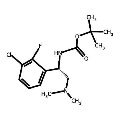 CN(C)C[C@@H](NC(=O)OC(C)(C)C)c1cccc(Cl)c1F